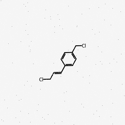 ClCC=Cc1ccc(CCl)cc1